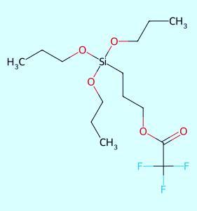 CCCO[Si](CCCOC(=O)C(F)(F)F)(OCCC)OCCC